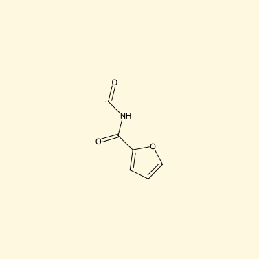 O=[C]NC(=O)c1ccco1